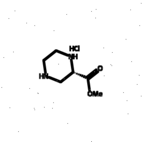 COC(=O)[C@@H]1CNCCN1.Cl